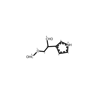 O=COCC(C=O)c1cc[nH]c1